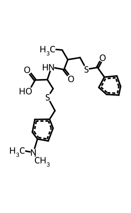 CCC(CSC(=O)c1ccccc1)C(=O)NC(CSCc1ccc(N(C)C)cc1)C(=O)O